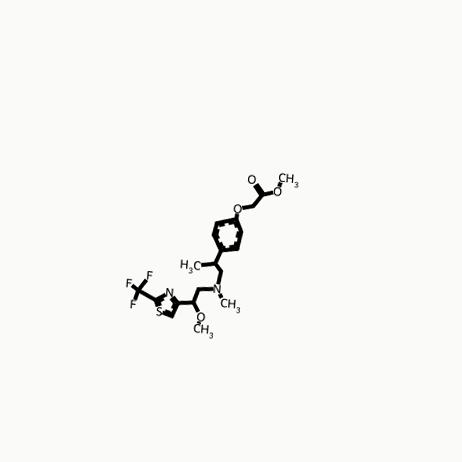 COC(=O)COc1ccc(C(C)CN(C)CC(OC)c2csc(C(F)(F)F)n2)cc1